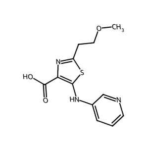 COCCc1nc(C(=O)O)c(Nc2cccnc2)s1